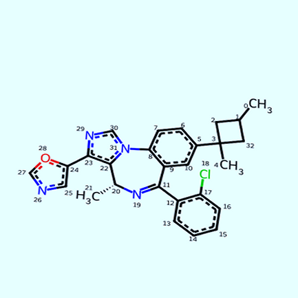 CC1CC(C)(c2ccc3c(c2)C(c2ccccc2Cl)=N[C@H](C)c2c(-c4cnco4)ncn2-3)C1